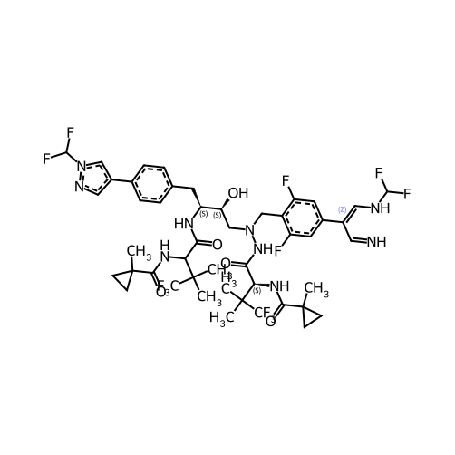 CC1(C(=O)NC(C(=O)N[C@@H](Cc2ccc(-c3cnn(C(F)F)c3)cc2)[C@@H](O)CN(Cc2c(F)cc(/C(C=N)=C/NC(F)F)cc2F)NC(=O)[C@@H](NC(=O)C2(C)CC2)C(C)(C)C(F)(F)F)C(C)(C)C(F)(F)F)CC1